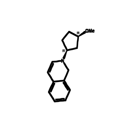 CO[C@@H]1CC[C@H](N2C=Cc3ccccc3C2)C1